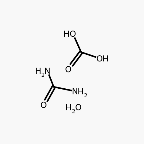 NC(N)=O.O.O=C(O)O